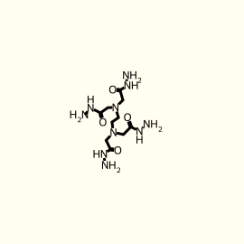 NNC(=O)CN(CCN(CC(=O)NN)CC(=O)NN)CC(=O)NN